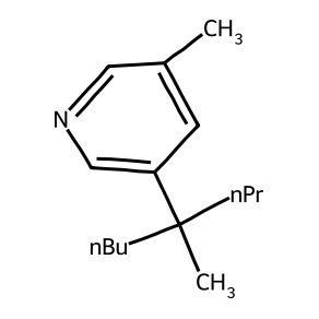 CCCCC(C)(CCC)c1cncc(C)c1